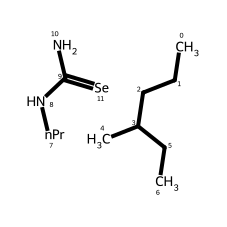 CCCC(C)CC.CCCNC(N)=[Se]